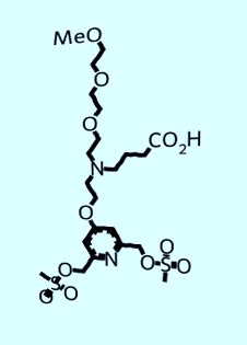 COCCOCCOCCN(CCCC(=O)O)CCOc1cc(COS(C)(=O)=O)nc(COS(C)(=O)=O)c1